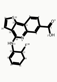 O=C(O)c1ccc2c(c1)nc(NC1=CC=CCC1F)c1ccsc12